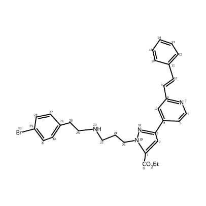 CCOC(=O)c1cc(-c2ccnc(/C=C/c3ccccc3)c2)nn1CCCNCCc1ccc(Br)cc1